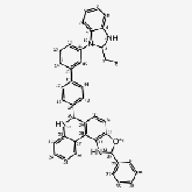 CCC1Nc2ccccc2N1c1cccc(-c2ccc(C3Nc4ccccc4-c4c3ccc3c4NC(c4ccccc4)O3)cc2)c1